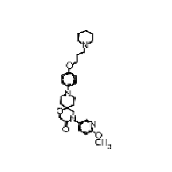 COc1ccc(N2CC3(CCN(c4ccc(OCCCN5CCCCC5)cc4)CC3)OCC2=O)cn1